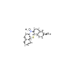 CN1c2ccc3ccccc3c2Sc2c1ccc1cc(C(C)(C)C)ccc21